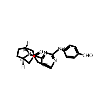 N#CCC(=O)N1[C@@H]2CC[C@H]1CN(c1ccnc(Nc3ccc(C=O)cc3)n1)C2